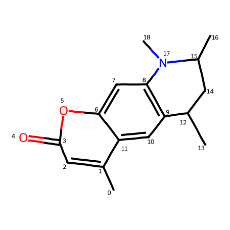 Cc1cc(=O)oc2cc3c(cc12)C(C)CC(C)N3C